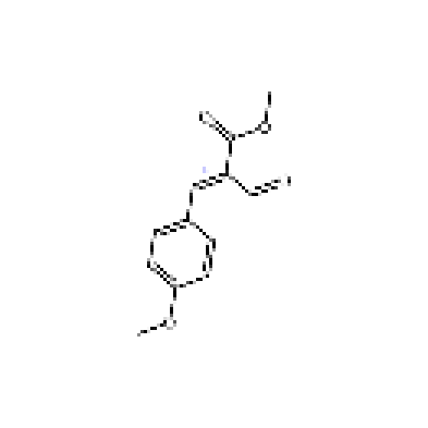 COC(=O)/C(C=O)=C/c1ccc(OC)cc1